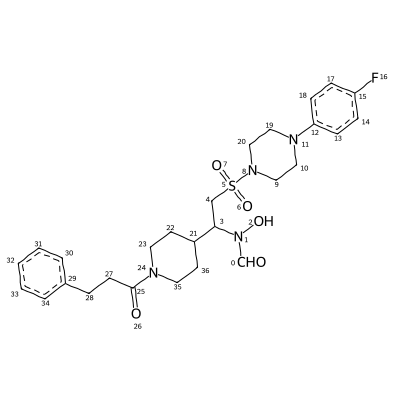 O=CN(O)C(CS(=O)(=O)N1CCN(c2ccc(F)cc2)CC1)C1CCN(C(=O)CCc2ccccc2)CC1